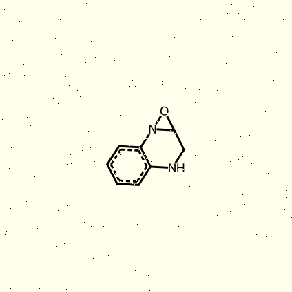 c1ccc2c(c1)NCC1ON21